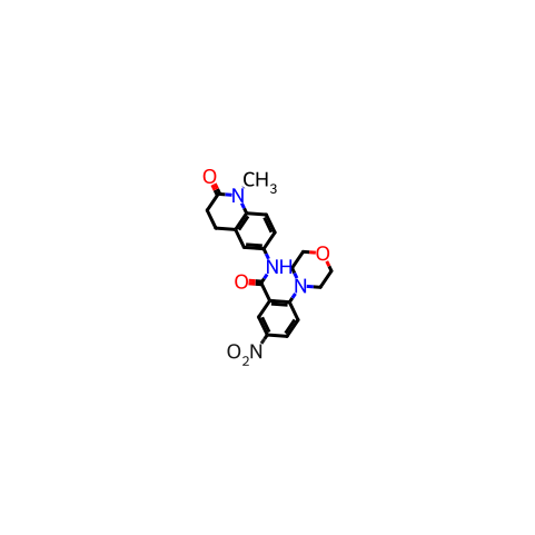 CN1C(=O)CCc2cc(NC(=O)c3cc([N+](=O)[O-])ccc3N3CCOCC3)ccc21